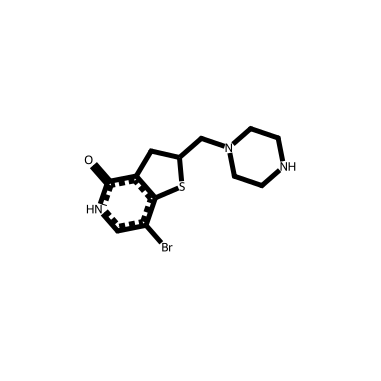 O=c1[nH]cc(Br)c2c1CC(CN1CCNCC1)S2